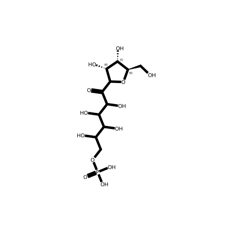 O=C(C(O)C(O)C(O)C(O)COP(=O)(O)O)C1O[C@H](CO)[C@@H](O)[C@H]1O